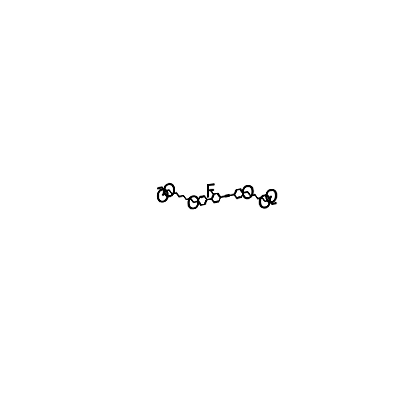 C=CC(=O)OCCCCCCOc1ccc(-c2ccc(C#Cc3ccc(OCCCCOC(=O)C=C)cc3)cc2F)cc1